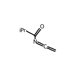 C=C=NC(=O)C(C)C